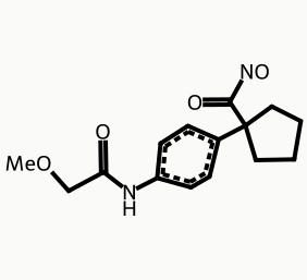 COCC(=O)Nc1ccc(C2(C(=O)N=O)CCCC2)cc1